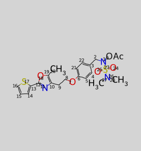 CC(=O)ON(Cc1ccc(OCCc2nc(-c3cccs3)oc2C)cc1)S(=O)(=O)N(C)C